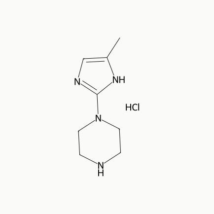 Cc1cnc(N2CCNCC2)[nH]1.Cl